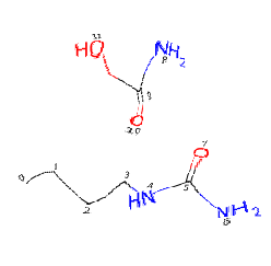 CCCCNC(N)=O.NC(=O)O